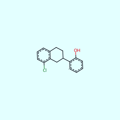 Oc1ccc[c]c1C1CCc2cccc(Cl)c2C1